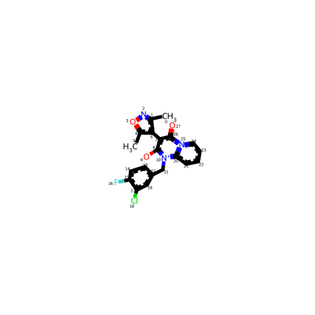 Cc1noc(C)c1-c1c([O-])[n+](Cc2ccc(F)c(Cl)c2)c2ccccn2c1=O